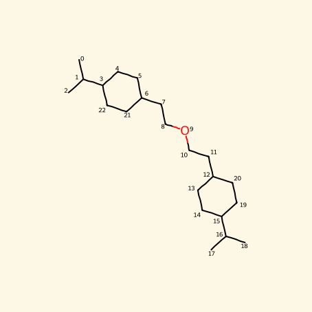 CC(C)C1CCC(CCOCCC2CCC(C(C)C)CC2)CC1